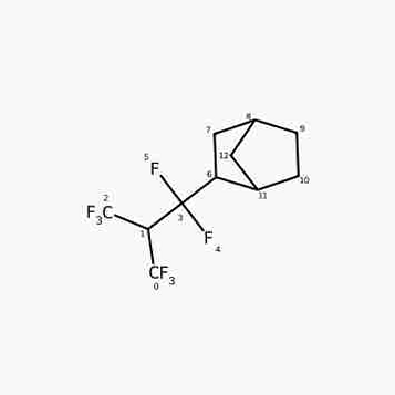 FC(F)(F)C(C(F)(F)F)C(F)(F)C1CC2CCC1C2